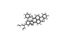 C=C/C=C(\C=C)c1cc(-c2ccccc2)c2c(c1)nc1c3ccc(Cl)c4c(-c5ccccc5)ccc(c(=O)n12)c43